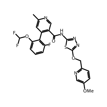 COc1ccc(COc2nnc(NC(=O)c3cnc(C)cc3-c3c(F)cccc3OC(F)F)s2)nc1